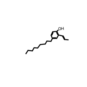 CC=Cc1cc(CCCCCCCCC)ccc1O